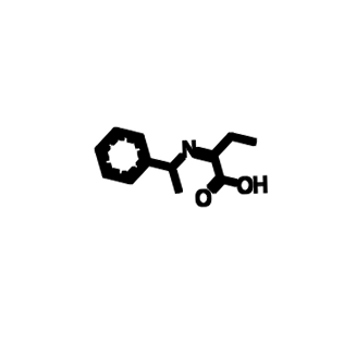 CCC(=NC(C)c1ccccc1)C(=O)O